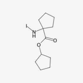 O=C(OC1CCCC1)C1(NI)CCCC1